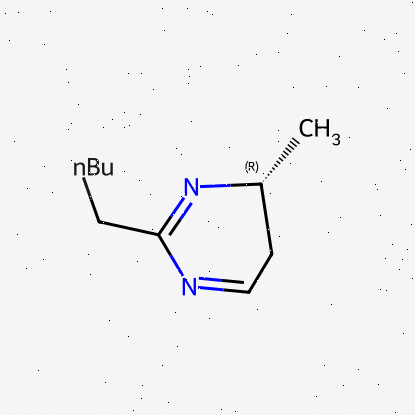 CCCCCC1=N[C@H](C)CC=N1